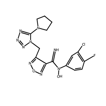 N=C(c1nonc1Cn1nnnc1N1CCCC1)N(O)c1ccc(F)c(Cl)c1